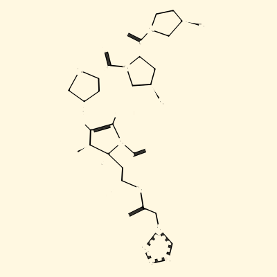 C[C@@H](NC(=O)Cn1cnnn1)[C@H]1C(=O)N2C(C(=O)O)=C(S[C@@H]3CN[C@H](C(=O)N4C[C@H](N)C[C@H]4C(=O)N4CC[C@@H](N)C4)C3)[C@H](C)[C@H]12